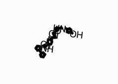 CN(CCN1CCC(OC(=O)Nc2ccccc2-c2ccccc2)CC1)C(=O)c1ccc(CNCc2ccc(O)cc2)o1